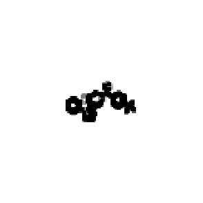 CC(C)(C)c1ccc(C(=O)N2CCC3(CC2)Oc2ccccc2-n2cccc23)cc1